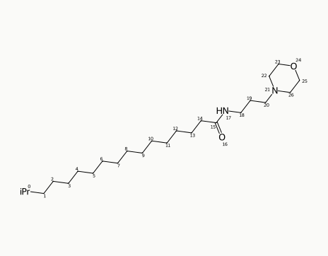 CC(C)CCCCCCCCCCCCCCC(=O)NCCCN1CCOCC1